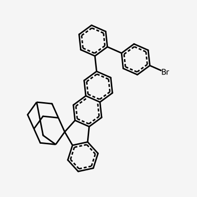 Brc1ccc(-c2ccccc2-c2ccc3cc4c(cc3c2)C2(c3ccccc3-4)C3CC4CC(C3)CC2C4)cc1